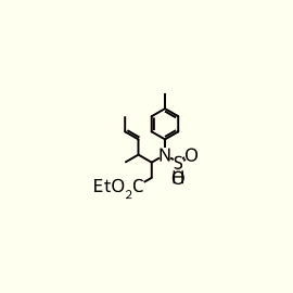 CC=CC(C)C(CC(=O)OCC)N(c1ccc(C)cc1)[SH](=O)=O